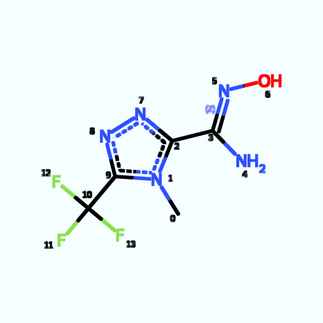 Cn1c(/C(N)=N/O)nnc1C(F)(F)F